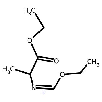 CCO/C=N\C(C)C(=O)OCC